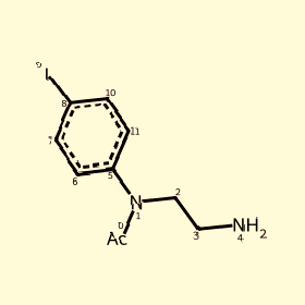 CC(=O)N(CCN)c1ccc(I)cc1